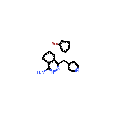 Brc1ccccc1.Nc1nnc(Cc2ccncc2)c2ccccc12